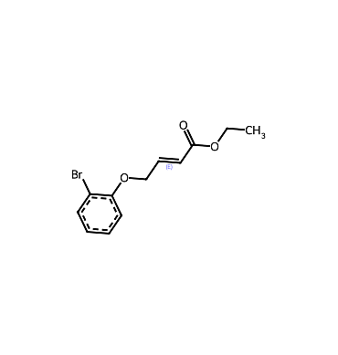 CCOC(=O)/C=C/COc1ccccc1Br